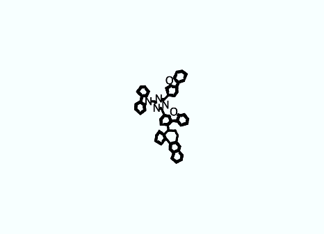 c1ccc2c(c1)-c1cc3ccccc3cc1CCC2c1ccc(-c2nc(-c3ccc4c(c3)oc3ccccc34)nc(-n3c4ccccc4c4ccccc43)n2)c2oc3ccccc3c12